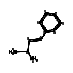 NC(N)C=Cc1ccccc1